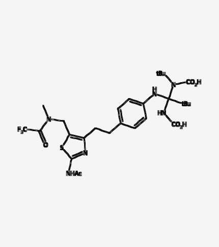 CC(=O)Nc1nc(CCc2ccc(NC(NC(=O)O)(N(C(=O)O)C(C)(C)C)C(C)(C)C)cc2)c(CN(C)C(=O)C(F)(F)F)s1